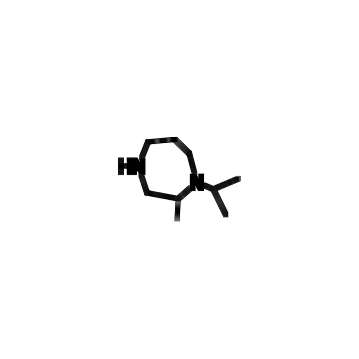 CC(C)N1CCCNCC1C